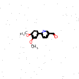 COc1ccc(-c2ccc(C=O)cn2)cc1OC